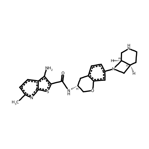 Cc1ccc2c(N)c(C(=O)N[C@H]3COc4cc(N5C[C@@H]6CCNC[C@@H]65)ccc4C3)sc2n1